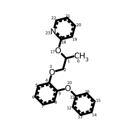 CC(COc1ccccc1Oc1ccccc1)Oc1ccccn1